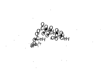 [Bi+3].[O]=[GeH][O-].[O]=[GeH][O-].[O]=[GeH][O-].[O]=[GeH][O-].[O]=[GeH][O-].[O]=[GeH][O-].[Sb+3]